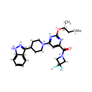 COC[C@@H](C)Oc1nc(C(=O)N2CC(F)(F)C2)cc(N2CCC(c3n[nH]c4ccccc34)CC2)n1